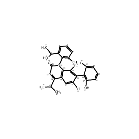 Cc1cccc(C(C)C)c1-n1c(=O)nc(C(C)C)c2cc(Cl)c(-c3c(O)cccc3F)c(F)c21